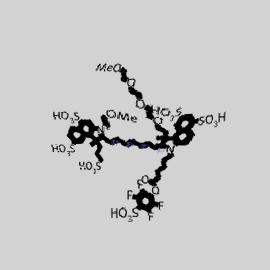 COCCOCCOCCOCCC1(C)\C(=C/C=C/C=C/C=C/C2=[N+](CCOC)c3cc(S(=O)(=O)O)c4ccc(S(=O)(=O)O)cc4c3C2(C)CCCS(=O)(=O)O)N(CCCCCC(=O)Oc2c(F)c(F)c(S(=O)(=O)O)c(F)c2F)c2ccc3c(S(=O)(=O)O)cc(S(=O)(=O)O)cc3c21